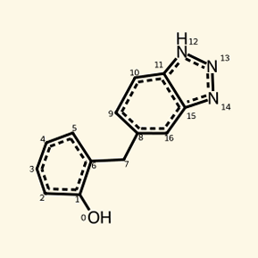 Oc1ccccc1Cc1ccc2[nH]nnc2c1